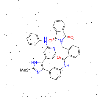 CSc1nc(-c2cccc(NC(=O)c3ccccc3CN3C(=O)c4ccccc4C3=O)c2)c(-c2ccnc(Nc3ccccc3)c2)[nH]1